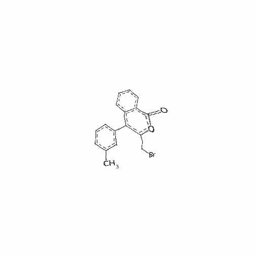 Cc1cccc(-c2c(CBr)oc(=O)c3ccccc23)c1